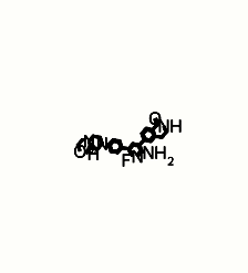 Nc1nc(F)c(-c2ccc(N3CCN4CCOC[C@@H]4C3)cc2)cc1-c1ccc2c(c1)CCNC2=O